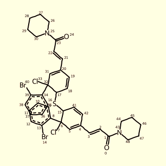 O=C(C=CC1=CC(Cl)(c2ccccc2Br)C(SC2C=CC(C=CC(=O)N3CCCCC3)=CC2(Cl)c2ccccc2Br)C=C1)N1CCCCC1